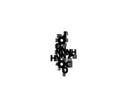 COc1ccc(Nc2nc(NC(C)C)nc(Oc3ccc(I)cc3)n2)cc1Cl